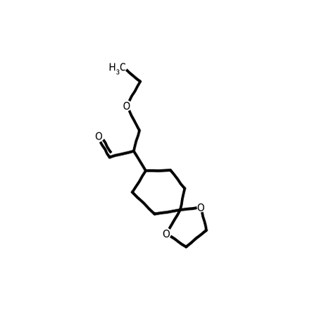 CCOCC(C=O)C1CCC2(CC1)OCCO2